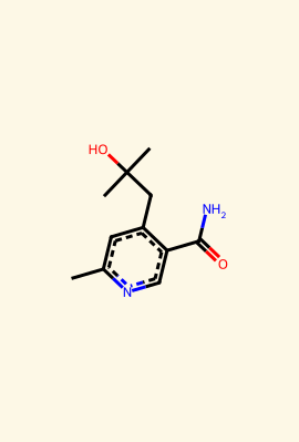 Cc1cc(CC(C)(C)O)c(C(N)=O)cn1